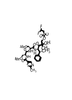 COC[C@H](NC(=O)c1cnc(C)s1)C(=O)N[C@@H](COC)C(=O)N[C@H](C(=O)C(C)(O)COS(=O)(=O)CC(F)F)[C@H](C)c1ccccc1